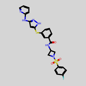 O=C(NC1CN(S(=O)(=O)c2ccc(F)cc2)C1)c1cccc(Sc2cc(Nc3ccccn3)n[nH]2)c1